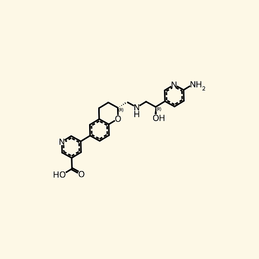 Nc1ccc([C@@H](O)CNC[C@H]2CCc3cc(-c4cncc(C(=O)O)c4)ccc3O2)cn1